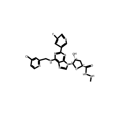 CNNC(=O)[C@@H]1C[C@@H](O)[C@H](n2cnc3c(NCc4cc(Cl)ccn4)nc(-c4cncc(F)c4)nc32)O1